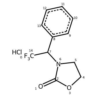 Cl.O=C1OCCN1C(c1ccccc1)C(F)(F)F